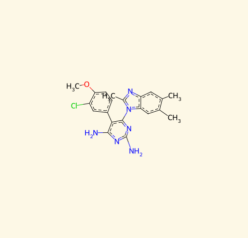 COc1ccc(-c2c(N)nc(N)nc2-n2c(C)nc3cc(C)c(C)cc32)cc1Cl